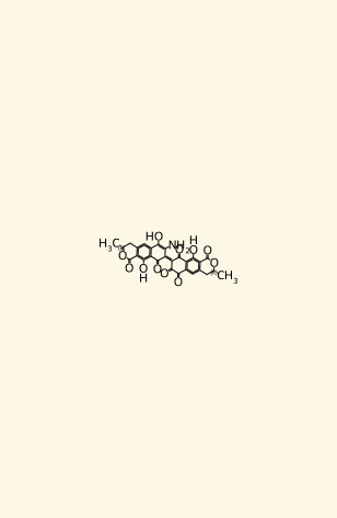 C[C@@H]1Cc2cc3c(c(O)c2C(=O)O1)C(=O)C(=C1C(=O)c2c(cc4c(c2O)C(=O)O[C@H](C)C4)C(O)=C1N)C(=O)C3=O